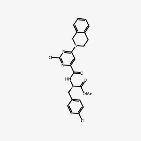 COC(=O)[C@@H](Cc1ccc(Cl)cc1)NC(=O)c1cc(N2CCc3ccccc3C2)nc(Cl)n1